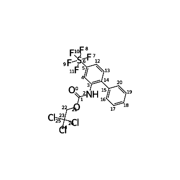 O=C(Nc1cc(S(F)(F)(F)(F)F)ccc1-c1ccccc1)OCC(Cl)(Cl)Cl